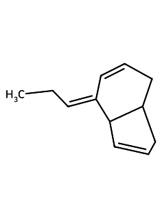 CCC=C1C=CCC2CC=CC12